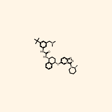 C[C@H]1CCCCN1c1nnc2ccc(O[C@@H]3CC[C@H](NC(=O)Nc4cc(CN(C)C)cc(C(C)(C)C)c4)c4ccccc43)cn12